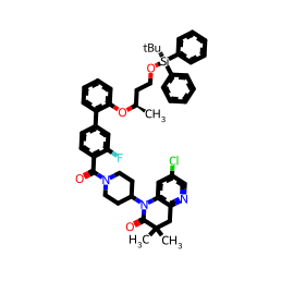 C[C@H](CCO[Si](c1ccccc1)(c1ccccc1)C(C)(C)C)Oc1ccccc1-c1ccc(C(=O)N2CCC(N3C(=O)C(C)(C)Cc4ncc(Cl)cc43)CC2)c(F)c1